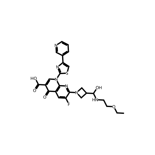 CCOCCNC(O)C1CN(c2nc3c(cc2F)c(=O)c(C(=O)O)cn3-c2nc(-c3cccnc3)cs2)C1